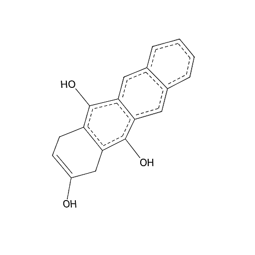 OC1=CCc2c(c(O)c3cc4ccccc4cc3c2O)C1